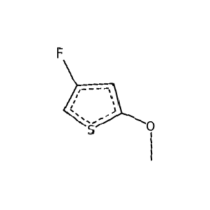 COc1cc(F)cs1